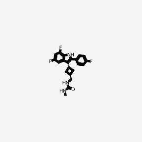 CNC(=O)NC[C@H]1C[C@H](c2c(-c3ccc(F)cc3)[nH]c3c(F)cc(F)cc32)C1